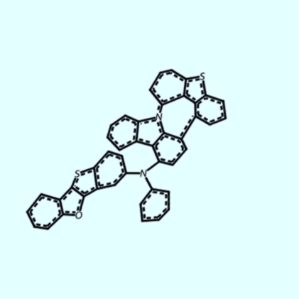 c1ccc(N(c2ccc3sc4c5ccccc5oc4c3c2)c2ccc3c4cccc5sc6cccc(c6c54)n4c5ccccc5c2c34)cc1